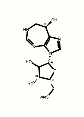 CSC[C@H]1O[C@@H](n2cnc3c2N=CNC[C@H]3O)C(O)[C@H]1O